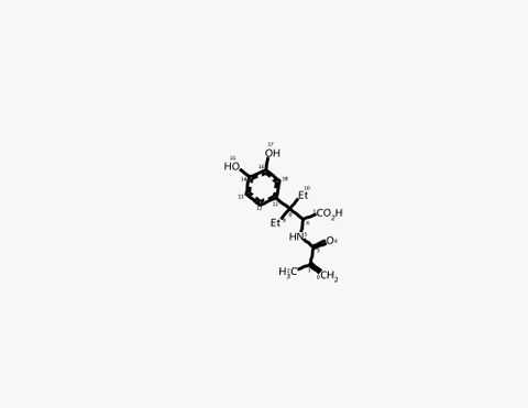 C=C(C)C(=O)NC(C(=O)O)C(CC)(CC)c1ccc(O)c(O)c1